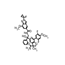 COc1cc(F)c(-c2nc([C@@](O)(CNC(=O)c3cc(OC)c4nn(C5(F)CC5)cc4c3)c3ccccc3)cc3c2OC[C@]3(C)C(N)=O)cc1F